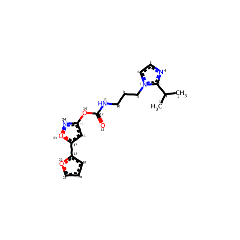 CC(C)c1nccn1CCCNC(=O)Oc1cc(-c2ccco2)on1